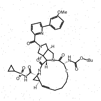 COc1cccc(-c2cccc(C(=O)N3C[C@H]4CN5C(=O)[C@H](NC(=O)OC(C)(C)C)CCCCC/C=C\[C@H]6C[C@@]6(C(=O)NS(=O)(=O)C6CC6)NC(=O)[C@@H]5[C@H]4C3)n2)c1